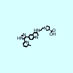 Cc1cccc(-c2[nH]cnc2-c2ccc3ncc(NCCN4CC[C@@H](C(=O)O)C4)cc3c2)n1